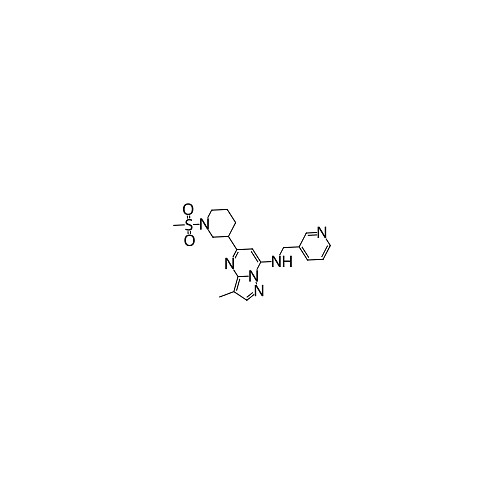 Cc1cnn2c(NCc3cccnc3)cc(C3CCCN(S(C)(=O)=O)C3)nc12